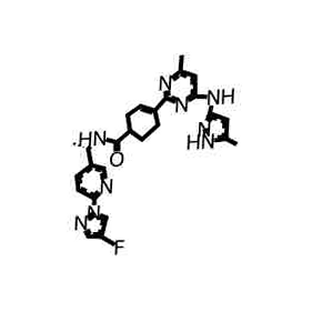 Cc1cc(Nc2cc(C)[nH]n2)nc(C2=CCC(C(=O)N[C@@H](C)c3ccc(-n4cc(F)cn4)nc3)CC2)n1